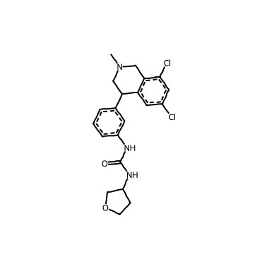 CN1Cc2c(Cl)cc(Cl)cc2C(c2cccc(NC(=O)NC3CCOC3)c2)C1